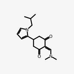 CC(C)Cn1cccc1C1CC(=O)C(=CN(C)C)C(=O)C1